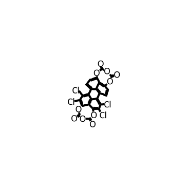 O=C1OC(=O)Oc2ccc3c4c(Cl)c(Cl)c5c6c(c(Cl)c(Cl)c(c7ccc(c2c73)O1)c64)OC(=O)OC(=O)O5